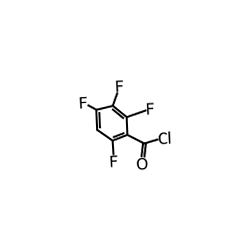 O=C(Cl)c1c(F)cc(F)c(F)c1F